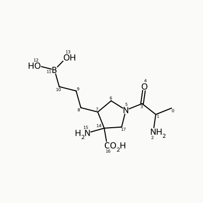 CC(N)C(=O)N1CC(CCCB(O)O)C(N)(C(=O)O)C1